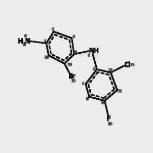 Nc1ccc(Nc2ccc(F)cc2Cl)c(Br)c1